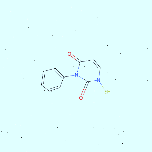 O=c1ccn(S)c(=O)n1-c1ccccc1